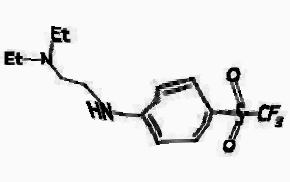 CCN(CC)CCNc1ccc(S(=O)(=O)C(F)(F)F)cc1